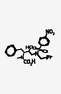 CC(C)CN(CC(O)[C@H](Cc1ccccc1)N(C)C(=O)O)S(=O)(=O)c1ccc([N+](=O)[O-])cc1